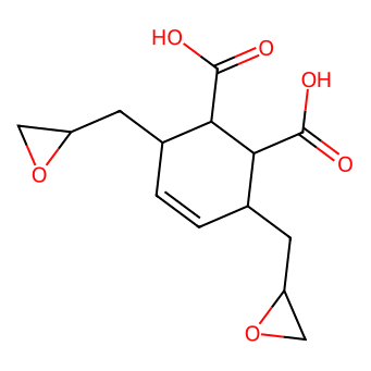 O=C(O)C1C(CC2CO2)C=CC(CC2CO2)C1C(=O)O